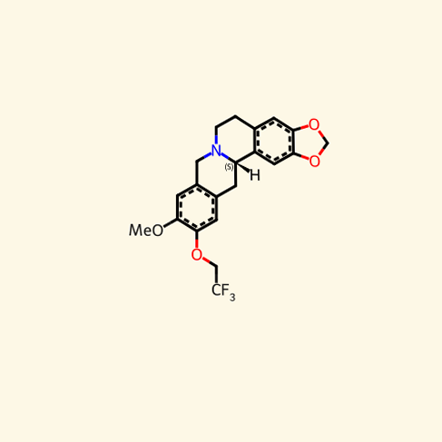 COc1cc2c(cc1OCC(F)(F)F)C[C@H]1c3cc4c(cc3CCN1C2)OCO4